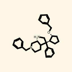 NCC(c1ccccc1)(C1CCN(Cc2ccccc2)CC1)[C@@H]1CCC[C@H]1OCc1ccccc1